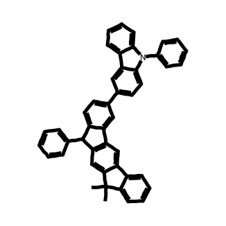 CC1(C)c2ccccc2-c2cc3c(cc21)C(c1ccccc1)c1ccc(-c2ccc4c(c2)c2ccccc2n4-c2ccccc2)cc1-3